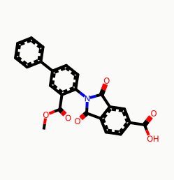 COC(=O)c1cc(-c2ccccc2)ccc1N1C(=O)c2ccc(C(=O)O)cc2C1=O